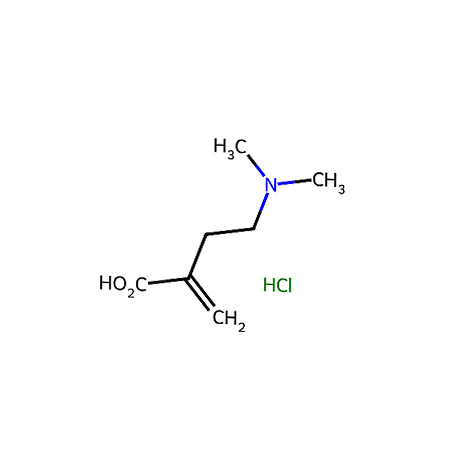 C=C(CCN(C)C)C(=O)O.Cl